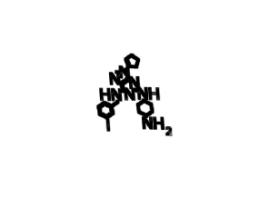 NC1CCC(Nc2nc(NCc3cccc(I)c3)c3ncn(C4=CCCC4)c3n2)CC1